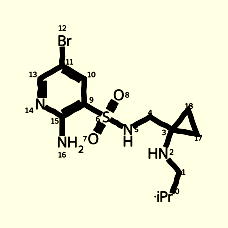 C[C](C)CNC1(CNS(=O)(=O)c2cc(Br)cnc2N)CC1